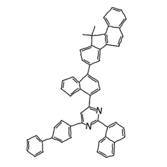 CC1(C)c2ccc(-c3ccc(-c4cc(-c5ccc(-c6ccccc6)cc5)nc(-c5cccc6ccccc56)n4)c4ccccc34)cc2-c2ccc3ccccc3c21